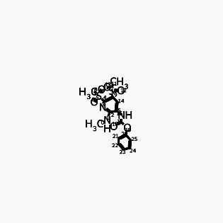 CNc1nc(S(C)(=O)=O)c(S(C)(=O)=O)cc1NC(=O)Oc1ccccc1